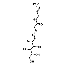 O=C(O)/C=C/CNC(=O)CO/N=C/C(F)C(O)C(O)C(O)CO